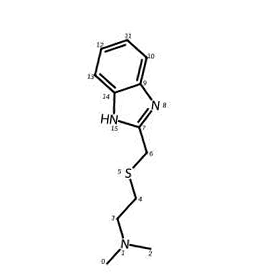 CN(C)CCSCc1nc2ccccc2[nH]1